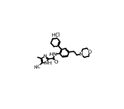 Cc1nc(C(=O)Nc2ccc(CCN3CCOCC3)cc2C2=CCCCC2)[nH]c1C#N.Cl